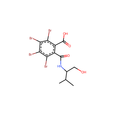 CC(C)C(CO)NC(=O)c1c(Br)c(Br)c(Br)c(Br)c1C(=O)O